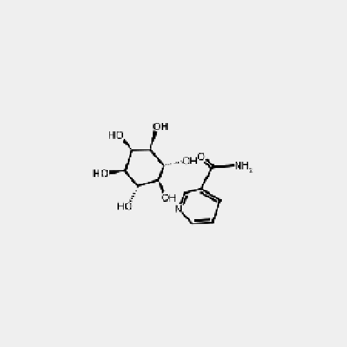 NC(=O)c1cccnc1.O[C@H]1[C@H](O)[C@@H](O)[C@H](O)[C@@H](O)[C@H]1O